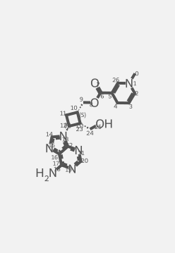 CN1C=CCC(C(=O)OC[C@H]2C[C@@H](n3cnc4c(N)ncnc43)[C@H]2CO)=C1